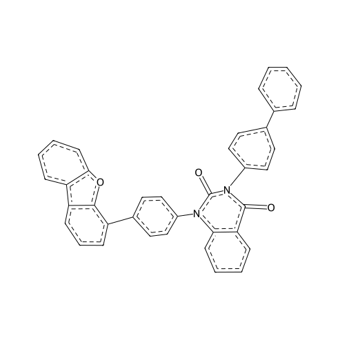 O=c1c2ccccc2n(-c2ccc(-c3cccc4c3oc3ccccc34)cc2)c(=O)n1-c1ccc(-c2ccccc2)cc1